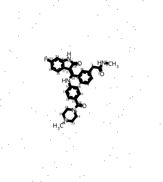 CNC(=O)Cc1cccc(C(Nc2ccc(C(=O)N3CCN(C)CC3)cc2)=C2C(=O)Nc3cc(F)ccc32)c1